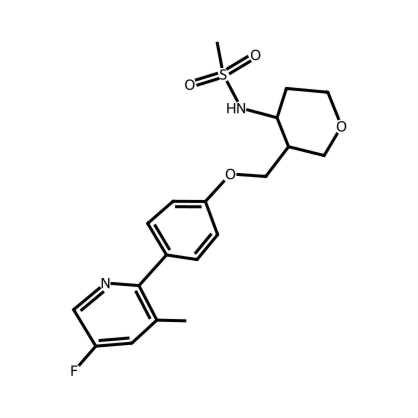 Cc1cc(F)cnc1-c1ccc(OCC2COCCC2NS(C)(=O)=O)cc1